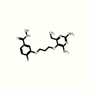 CCc1nc(N)nc(N)c1OCCCOc1cc(C(=O)NO)ccc1F